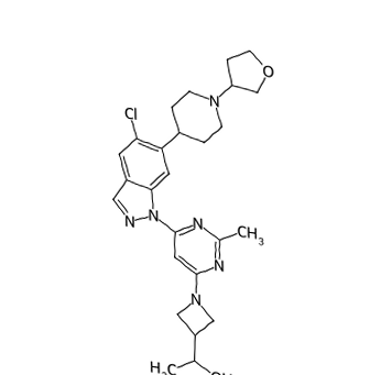 Cc1nc(N2CC(C(C)O)C2)cc(-n2ncc3cc(Cl)c(C4CCN(C5CCOC5)CC4)cc32)n1